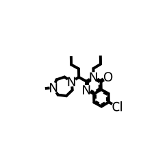 CCCC(c1nc2ccc(Cl)cc2c(=O)n1CCC)N1CCCN(C)CC1